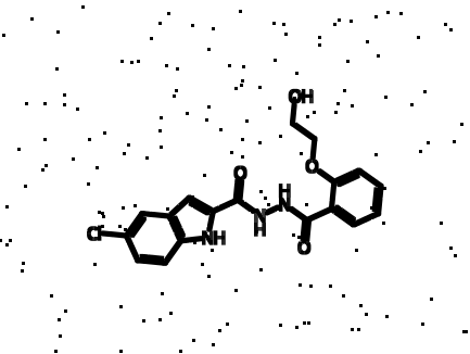 O=C(NNC(=O)c1ccccc1OCCO)c1cc2cc(Cl)ccc2[nH]1